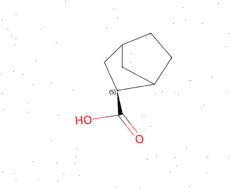 O=C(O)[C@H]1CC2CCC1C2